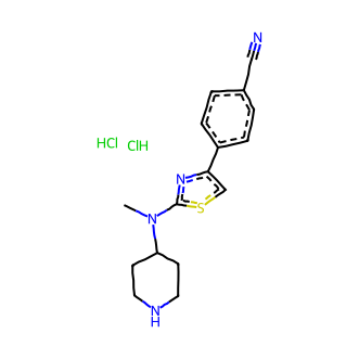 CN(c1nc(-c2ccc(C#N)cc2)cs1)C1CCNCC1.Cl.Cl